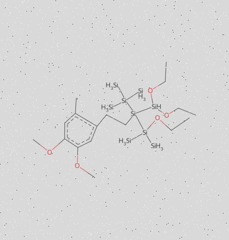 CCO[SiH](OCC)[Si](CCc1cc(OC)c(OC)cc1C)([Si]([SiH3])([SiH3])[SiH3])[Si]([SiH3])([SiH3])OCC